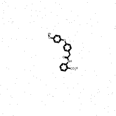 CC(C)Oc1ccc(Oc2ccc(CC(=O)Nc3ccccc3C(=O)O)cc2)cc1